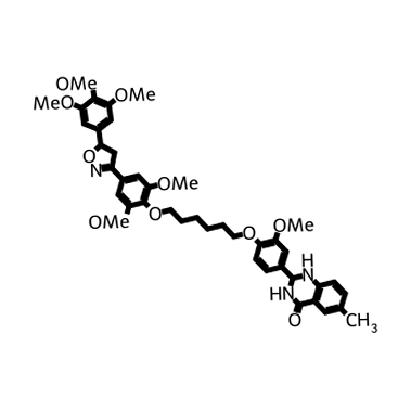 COc1cc(C2NC(=O)c3cc(C)ccc3N2)ccc1OCCCCCCOc1c(OC)cc(C2=NOC(c3cc(OC)c(OC)c(OC)c3)C2)cc1OC